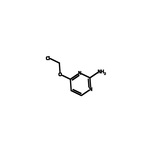 Nc1nccc(OCCl)n1